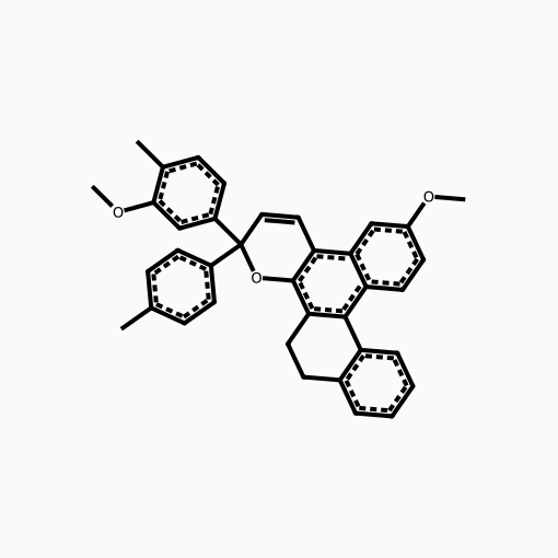 COc1ccc2c3c(c4c(c2c1)C=CC(c1ccc(C)cc1)(c1ccc(C)c(OC)c1)O4)CCc1ccccc1-3